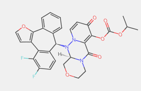 CC(C)OC(=O)Oc1c2n(ccc1=O)N([C@@H]1c3ccccc3-c3occc3-c3c1ccc(F)c3F)[C@@H]1COCCN1C2=O